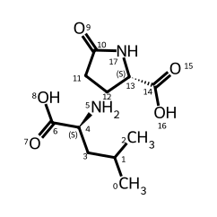 CC(C)C[C@H](N)C(=O)O.O=C1CC[C@@H](C(=O)O)N1